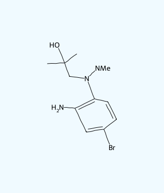 CNN(CC(C)(C)O)c1ccc(Br)cc1N